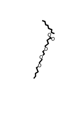 CCCCCCC(C)OC(=O)CCCOCCOCCOCCCCC